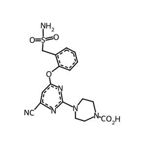 N#Cc1cc(Oc2ccccc2CS(N)(=O)=O)nc(N2CCN(C(=O)O)CC2)n1